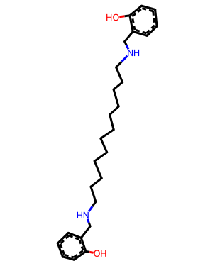 Oc1ccccc1CNCCCCCCCCCCCCNCc1ccccc1O